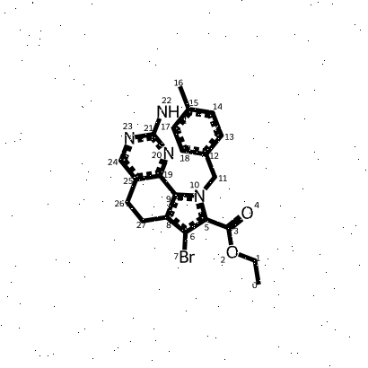 CCOC(=O)c1c(Br)c2c(n1Cc1ccc(C)cc1)-c1nc(N)ncc1CC2